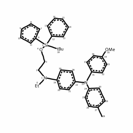 CCN(CCO[Si](c1ccccc1)(c1ccccc1)C(C)(C)C)c1ccc(N(c2ccc(C)cc2)c2ccc(OC)cc2)cc1